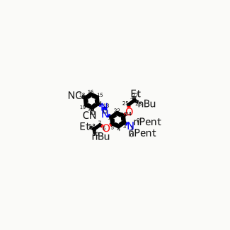 CCCCCN(CCCCC)c1cc(OCC(CC)CCCC)c(N=Nc2ccc(C#N)cc2C#N)cc1OCC(CC)CCCC